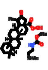 CC(=O)NCCNC(=O)OC(C)(C)C.CC(C)C1=C2[C@H]3CC[C@@H]4[C@@]5(C)CCCC(C)(C)[C@@H]5CC[C@@]4(C)[C@]3(C)CC[C@@]2(C(=O)OO)CC1=O